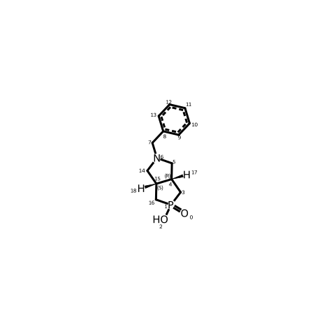 O=P1(O)C[C@H]2CN(Cc3ccccc3)C[C@H]2C1